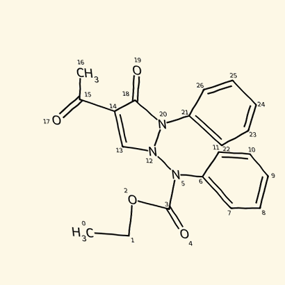 CCOC(=O)N(c1ccccc1)n1cc(C(C)=O)c(=O)n1-c1ccccc1